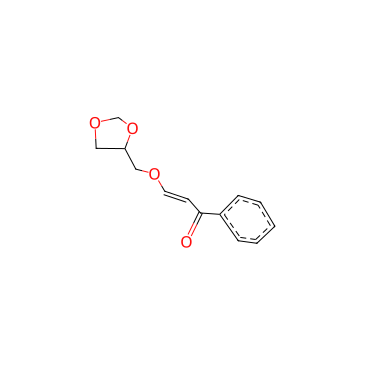 O=C(C=COCC1COCO1)c1ccccc1